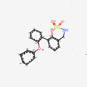 O=S1(=O)NCc2cccc(-c3ccccc3Oc3ccccc3)c2O1